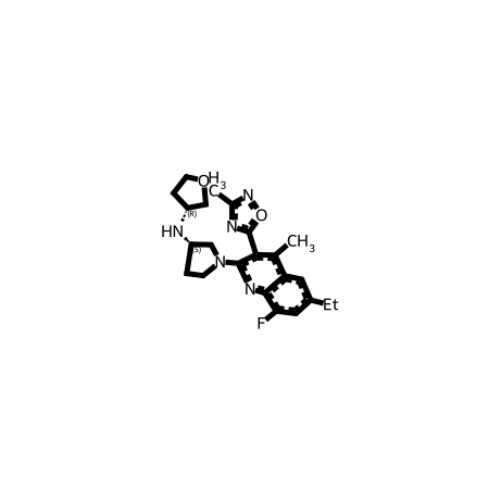 CCc1cc(F)c2nc(N3CC[C@H](N[C@@H]4CCOC4)C3)c(-c3nc(C)no3)c(C)c2c1